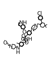 COCCN1CCC(Nc2ccc(S(=O)(=O)NC(=O)c3ccc(N4CCN(CC5=C(c6ccc(Cl)cc6)CC(C)(C)CC5)CC4)cc3Oc3ccc4[nH]ccc4c3)cc2C)CC1